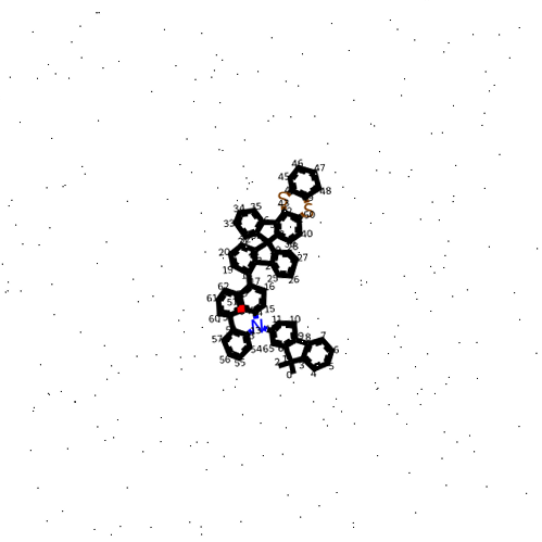 CC1(C)c2ccccc2-c2ccc(N(c3ccc(-c4cccc5c4-c4ccccc4C54c5ccccc5-c5c4ccc4c5Sc5ccccc5S4)cc3)c3ccccc3-c3ccccc3)cc21